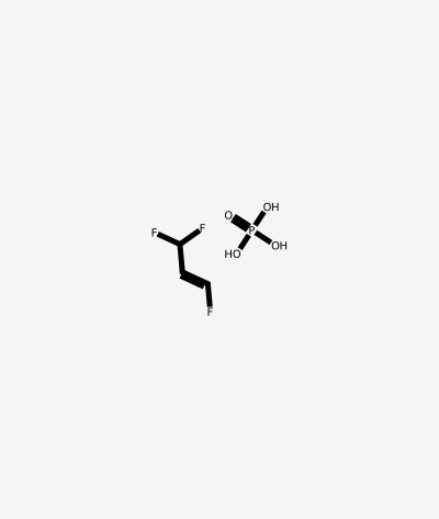 FC=CC(F)F.O=P(O)(O)O